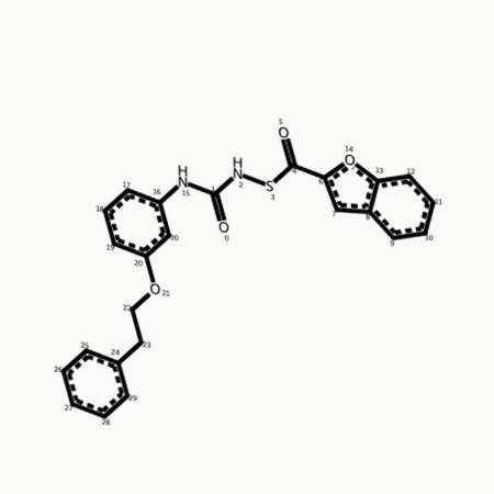 O=C(NSC(=O)c1cc2ccccc2o1)Nc1cccc(OCCc2ccccc2)c1